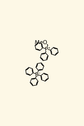 COC[P+](c1ccccc1)(c1ccccc1)c1ccccc1.c1ccc([B-](c2ccccc2)(c2ccccc2)c2ccccc2)cc1